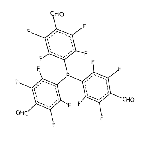 O=Cc1c(F)c(F)c(P(c2c(F)c(F)c(C=O)c(F)c2F)c2c(F)c(F)c(C=O)c(F)c2F)c(F)c1F